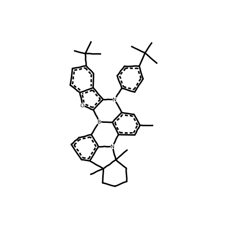 Cc1cc2c3c(c1)N1c4c(cccc4C4(C)CCCCC14C)B3c1oc3ccc(C(C)(C)C)cc3c1N2c1ccc(C(C)(C)C)cc1